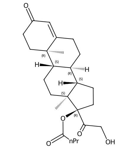 CCCC(=O)O[C@]1(C(=O)CO)CC[C@H]2[C@@H]3CCC4=CC(=O)CC[C@]4(C)[C@H]3CC[C@@]21C